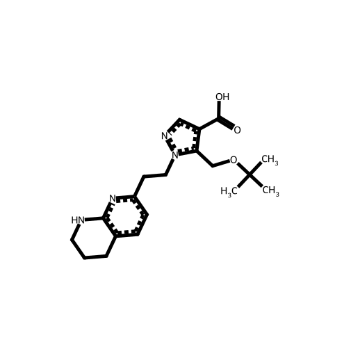 CC(C)(C)OCc1c(C(=O)O)cnn1CCc1ccc2c(n1)NCCC2